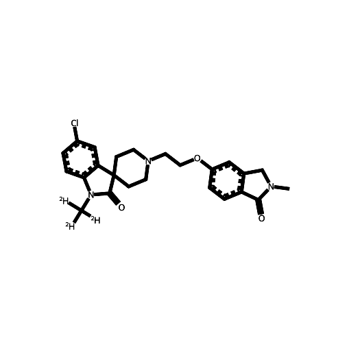 [2H]C([2H])([2H])N1C(=O)C2(CCN(CCOc3ccc4c(c3)CN(C)C4=O)CC2)c2cc(Cl)ccc21